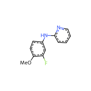 COc1ccc(Nc2ccccn2)cc1F